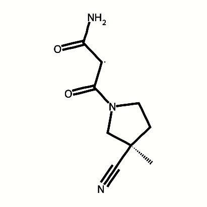 C[C@@]1(C#N)CCN(C(=O)[CH]C(N)=O)C1